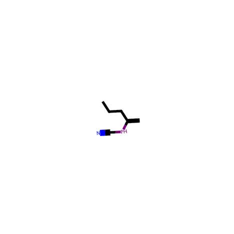 C=C(CCC)PC#N